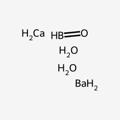 B=O.O.O.[BaH2].[CaH2]